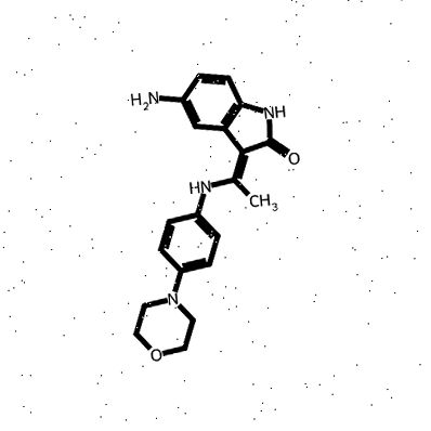 CC(Nc1ccc(N2CCOCC2)cc1)=C1C(=O)Nc2ccc(N)cc21